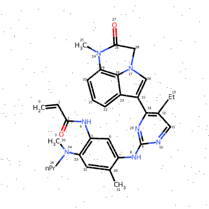 C=CC(=O)Nc1cc(Nc2ncc(CC)c(-c3cn4c5c(cccc35)N(C)C(=O)C4)n2)c(C)cc1N(C)CCC